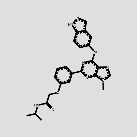 CC(C)NC(=O)COc1cccc(-c2nc(Nc3ccc4[nH]ncc4c3)c3ncn(C)c3n2)c1